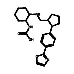 O=C(O)NC1CCCCC1NCC1CCCN1c1ccc(-c2ncco2)cc1